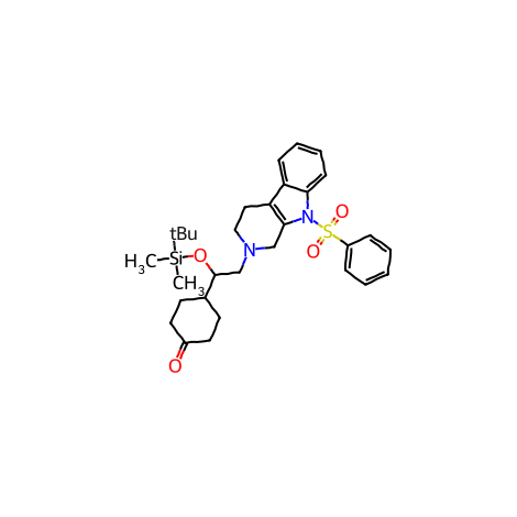 CC(C)(C)[Si](C)(C)OC(CN1CCc2c(n(S(=O)(=O)c3ccccc3)c3ccccc23)C1)C1CCC(=O)CC1